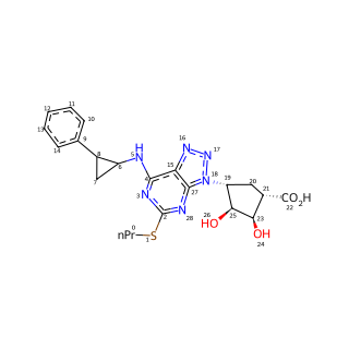 CCCSc1nc(NC2CC2c2ccccc2)c2nnn([C@@H]3C[C@H](C(=O)O)[C@@H](O)[C@H]3O)c2n1